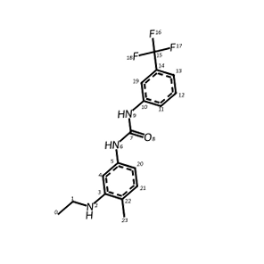 CCNc1cc(NC(=O)Nc2cccc(C(F)(F)F)c2)ccc1C